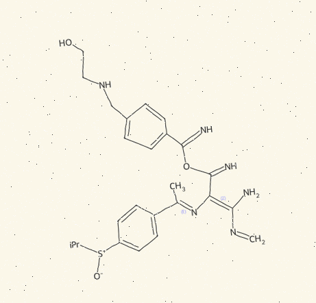 C=N/C(N)=C(\N=C(/C)c1ccc([S+]([O-])C(C)C)cc1)C(=N)OC(=N)c1ccc(CNCCO)cc1